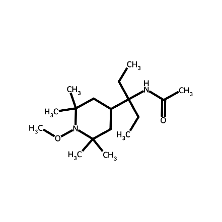 CCC(CC)(NC(C)=O)C1CC(C)(C)N(OC)C(C)(C)C1